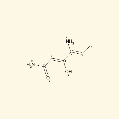 C/C=C(N)/C(O)=C/C(N)=O